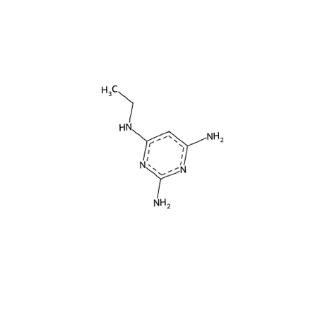 CCNc1cc(N)nc(N)n1